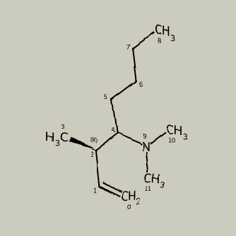 C=C[C@@H](C)C(CCCC)N(C)C